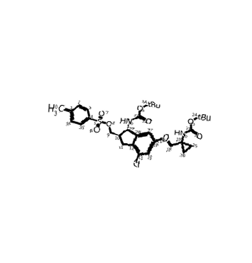 Cc1ccc(S(=O)(=O)OC[C@@H]2Cc3c(Cl)cc(OCC4(NC(=O)OC(C)(C)C)CC4)cc3[C@H]2NC(=O)OC(C)(C)C)cc1